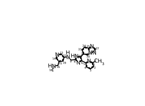 Cc1cccc(-c2nc(CNc3cncc(CNI)c3)[nH]c2-c2ccc3ncnn3c2)n1